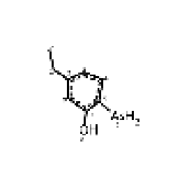 CCc1ccc([AsH2])c(O)c1